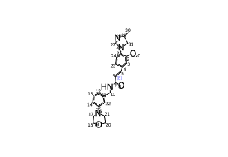 COc1cc(/C=C/C(=O)NCc2cccc(N3CCOCC3)c2)ccc1N1C=NC(C)C1